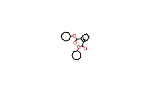 O=C(OC1CCCCCC1)C1=C2CCC(C2)C1C(=O)OC1CCCCCC1